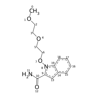 COCCOCCOn1c(C(N)=O)cc2ccccc21